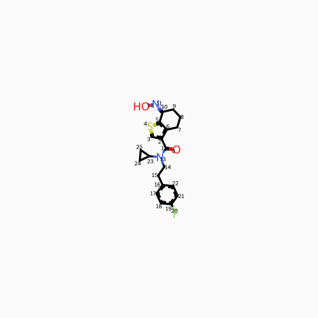 O=C(c1csc2c1CCC/C2=N/O)N(CCc1ccc(F)cc1)C1CC1